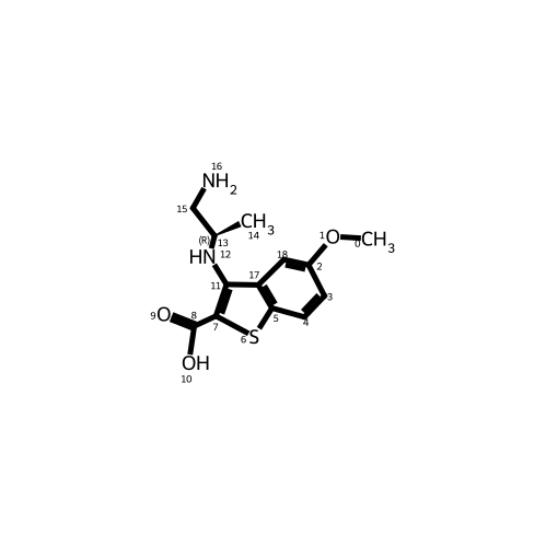 COc1ccc2sc(C(=O)O)c(N[C@H](C)CN)c2c1